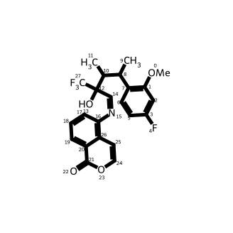 COc1cc(F)ccc1C(C)C(C)C(O)(C=Nc1cccc2c(=O)occc12)C(F)(F)F